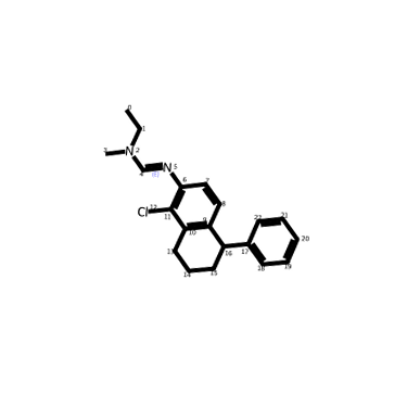 CCN(C)/C=N/c1ccc2c(c1Cl)CCCC2c1ccccc1